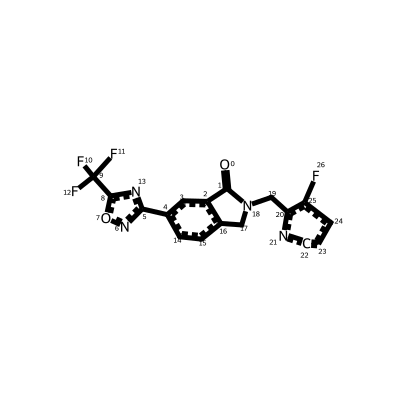 O=C1c2cc(-c3noc(C(F)(F)F)n3)ccc2CN1Cc1ncccc1F